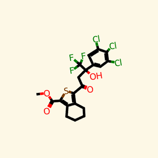 COC(=O)c1sc(C(=O)CC(O)(c2cc(Cl)c(Cl)c(Cl)c2)C(F)(F)F)c2c1CCCC2